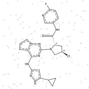 O=C(Nc1ccc(F)nc1)[C@@H]1C[C@@H](Cl)CN1c1nc(Nc2cc(C3CC3)[nH]n2)c2cccn2n1